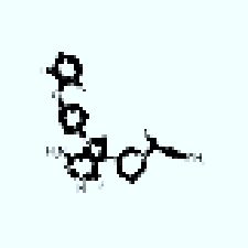 CC#CC(=O)N1CCC[C@H](c2cn(-c3ccc(Oc4c(F)cccc4F)cc3)c3c(N)n[nH]c(=O)c23)C1